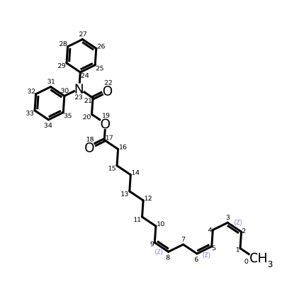 CC/C=C\C/C=C\C/C=C\CCCCCCCC(=O)OCC(=O)N(c1ccccc1)c1ccccc1